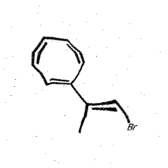 CC(=CBr)c1ccccc1